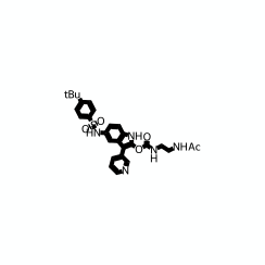 CC(=O)NCCNC(=O)Oc1[nH]c2ccc(NS(=O)(=O)c3ccc(C(C)(C)C)cc3)cc2c1-c1cccnc1